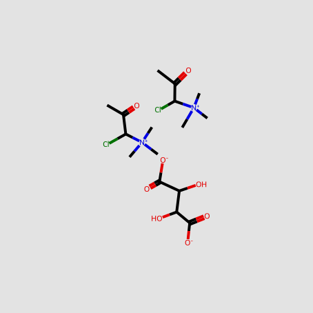 CC(=O)C(Cl)[N+](C)(C)C.CC(=O)C(Cl)[N+](C)(C)C.O=C([O-])C(O)C(O)C(=O)[O-]